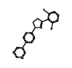 Fc1cccc(F)c1C1=NC(c2ccc(-c3cncnc3)cc2)CC1